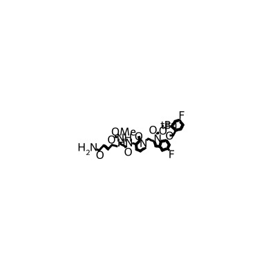 COC(=O)N[C@@H](CC/C=C/C(N)=O)C(=O)Nc1cccn(Cc2cc3cc(F)cc(OCc4ccc(F)cc4F)c3n2C(=O)OC(C)(C)C)c1=O